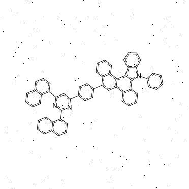 c1ccc(-n2c3ccccc3c3c4c5ccccc5c(-c5ccc(-c6cc(-c7cccc8ccccc78)nc(-c7cccc8ccccc78)n6)cc5)cc4c4ccccc4c32)cc1